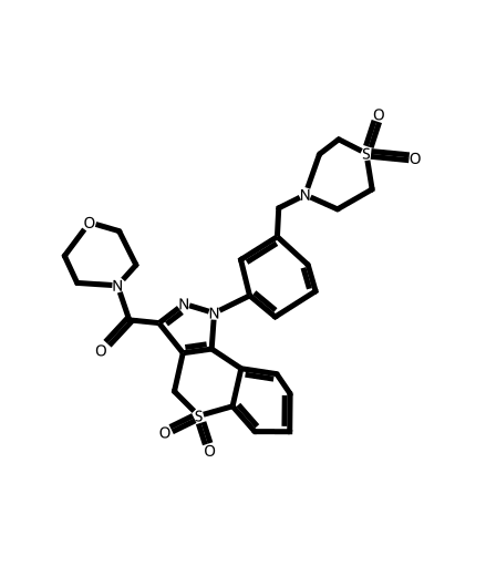 O=C(c1nn(-c2cccc(CN3CCS(=O)(=O)CC3)c2)c2c1CS(=O)(=O)c1ccccc1-2)N1CCOCC1